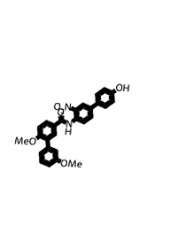 COc1cccc(-c2cc(C(=O)Nc3ccc(-c4ccc(O)cc4)cc3[N+](=O)[O-])ccc2OC)c1